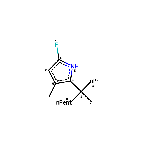 CCCCCC(C)(CCC)c1[nH]c(F)cc1C